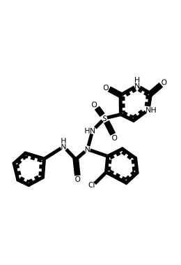 O=C(Nc1ccccc1)N(NS(=O)(=O)c1c[nH]c(=O)[nH]c1=O)c1ccccc1Cl